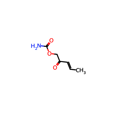 CC=CC(=O)COC(N)=O